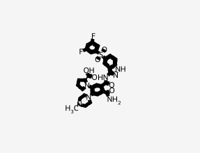 CN1CCN(c2cc(C(N)=O)c(C(=O)Nc3n[nH]c4ccc(S(=O)(=O)c5cc(F)cc(F)c5)cc34)cc2N2CCC[C@H]2C(=O)O)CC1